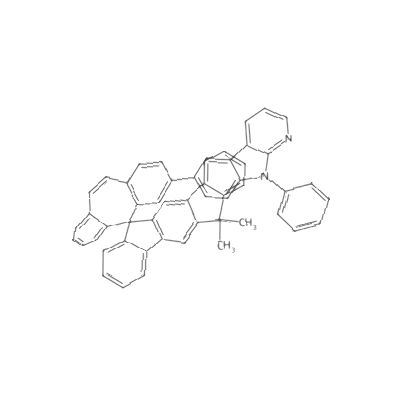 CC1(C)c2ccccc2-c2cc3c(cc21)-c1ccccc1C31c2ccccc2C=Cc2ccc(-c3ccc4c(c3)c3cccnc3n4-c3ccccc3)cc21